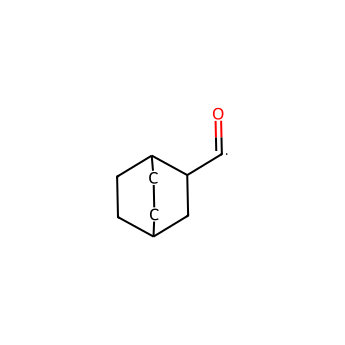 O=[C]C1CC2CCC1CC2